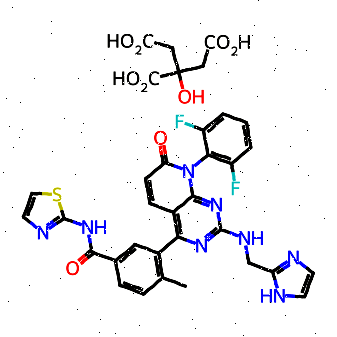 Cc1ccc(C(=O)Nc2nccs2)cc1-c1nc(NCc2ncc[nH]2)nc2c1ccc(=O)n2-c1c(F)cccc1F.O=C(O)CC(O)(CC(=O)O)C(=O)O